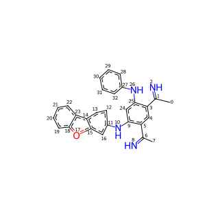 CC(=N)c1cc(C(C)=N)c(Nc2ccc3c(c2)oc2ccccc23)cc1Nc1ccccc1